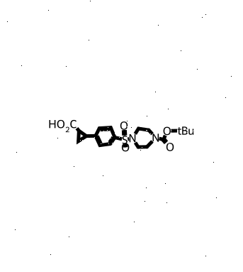 CC(C)(C)OC(=O)N1CCN(S(=O)(=O)c2ccc(C3CC3C(=O)O)cc2)CC1